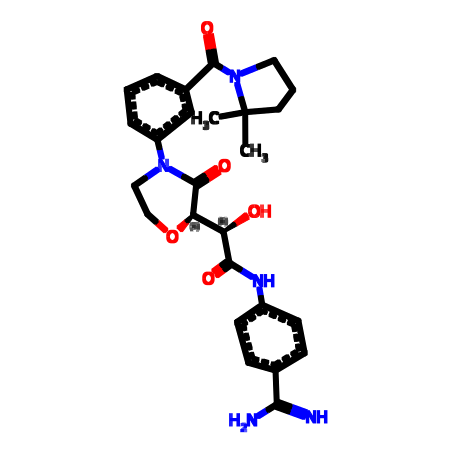 CC1(C)CCCN1C(=O)c1cccc(N2CCO[C@H]([C@@H](O)C(=O)Nc3ccc(C(=N)N)cc3)C2=O)c1